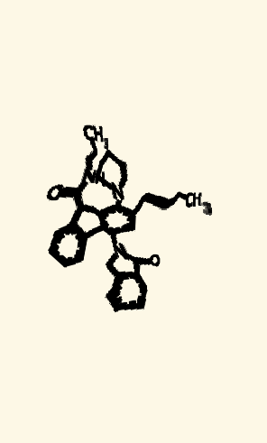 CCC=Cc1cc(N2Cc3ccccc3C2=O)c2c(c1N1CCCCC1)C(C(=O)NCCC)c1ccccc1-2